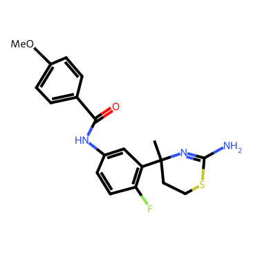 COc1ccc(C(=O)Nc2ccc(F)c(C3(C)CCSC(N)=N3)c2)cc1